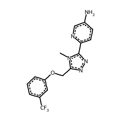 Cn1c(COc2cccc(C(F)(F)F)c2)nnc1-c1ccc(N)cn1